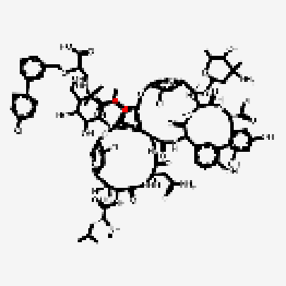 CN[C@H](CC(C)C)C(=O)NC1C(=O)N[C@@H](CC(N)=O)C(=O)NC2C(=O)NC3C(=O)N[C@H](C(=O)N[C@@H](C(=O)O)c4cc(O)cc(O)c4-c4cc3ccc4O)[C@H](OC3CC(C)(N)C(O)C(C)O3)c3ccc(c(Cl)c3)Oc3cc2cc(c3OC2OC(CO)C(O)C(O)C2OC(C)OC(C)C(O)C(C)(C)NCC(OCc2cccc(-c3ccc(Cl)cc3)c2)C(=O)O)Oc2ccc(cc2Cl)[C@H]1O